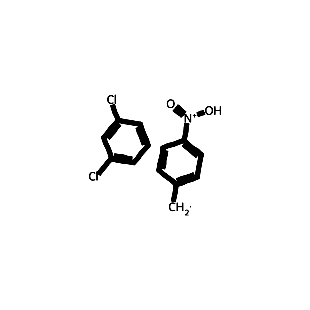 Clc1cccc(Cl)c1.[CH2]c1ccc([N+](=O)O)cc1